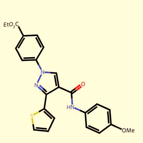 CCOC(=O)c1ccc(-n2cc(C(=O)Nc3ccc(OC)cc3)c(-c3cccs3)n2)cc1